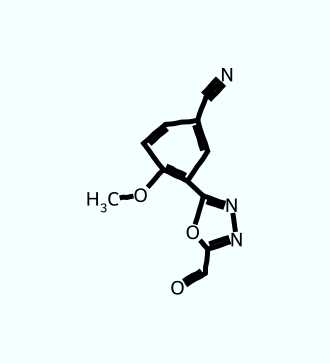 COc1ccc(C#N)cc1-c1nnc(C=O)o1